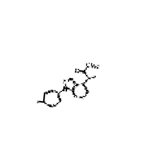 COC(=O)C(C)c1cccc2c1cnn2C1=CC=CC(C)C=C1